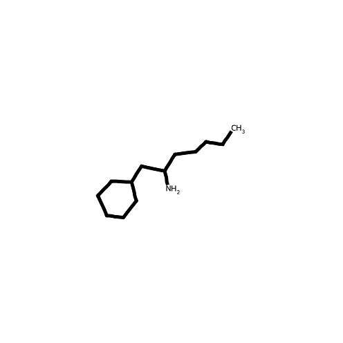 CCCCCC(N)CC1CCCCC1